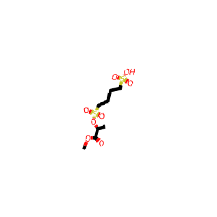 COC(=O)C(C)OS(=O)(=O)CCCCS(=O)(=O)O